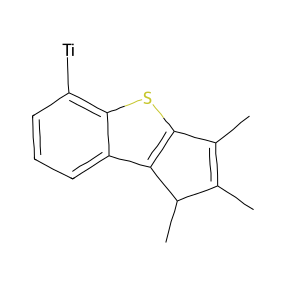 CC1=C(C)C(C)c2c1sc1[c]([Ti])cccc21